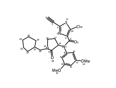 C#Cc1nc(C(=O)N(c2cc(OC)cc(OC)c2)C2CCN(CC3CCCCC3)C2=O)c(Cl)s1